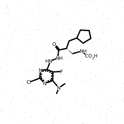 CN(C)c1nc(Cl)nc(NNC(=O)[C@@H](CNC(=O)O)CC2CCCC2)c1F